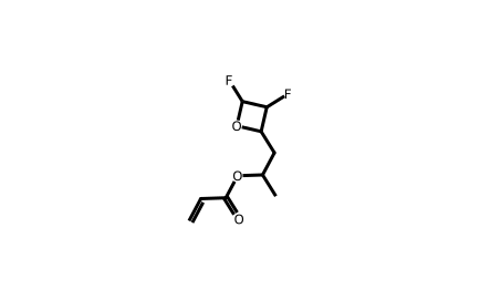 C=CC(=O)OC(C)CC1OC(F)C1F